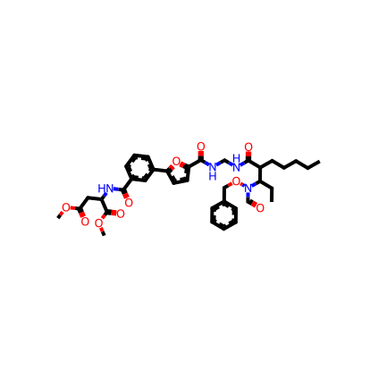 CCCCCC(C(=O)NCNC(=O)c1ccc(-c2cccc(C(=O)NC(CC(=O)OC)C(=O)OC)c2)o1)C(CC)N(C=O)OCc1ccccc1